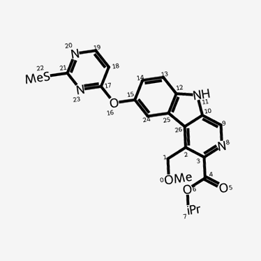 COCc1c(C(=O)OC(C)C)ncc2[nH]c3ccc(Oc4ccnc(SC)n4)cc3c12